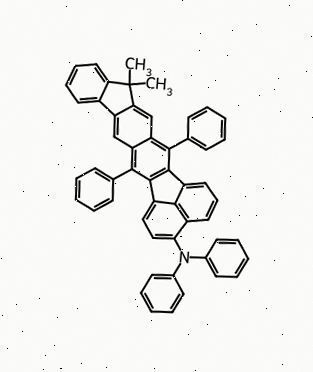 CC1(C)c2ccccc2-c2cc3c(-c4ccccc4)c4c(c(-c5ccccc5)c3cc21)-c1cccc2c(N(c3ccccc3)c3ccccc3)ccc-4c12